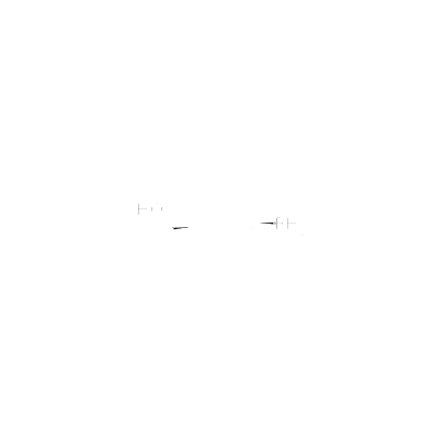 B[C@H]1CC[C@@H](CO)OC1